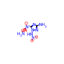 NO.Nc1nc([N+](=O)[O-])n(N[N+](=O)[O-])n1